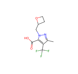 Cc1nn(CC2CCO2)c(C(=O)O)c1C(F)(F)F